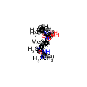 COc1c(CN2O[C@@H](CO)[C@@H]([C@H](C)O)[C@H]2C(=O)N[C@H]2C[C@@H](C)C(C)(C)[C@@H](C)[C@@H]2C)cccc1-c1ccc(N(C)C)c(C(=O)N[C@H](CN(C)C)CC(C)(C)C)c1